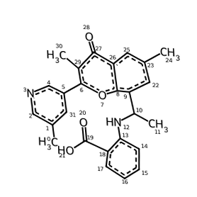 Cc1cncc(-c2oc3c(C(C)Nc4ccccc4C(=O)O)cc(C)cc3c(=O)c2C)c1